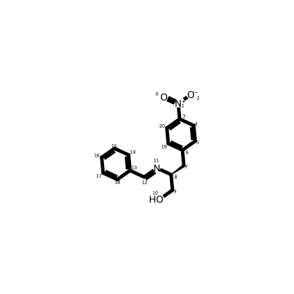 O=[N+]([O-])c1ccc(C[C@@H](CO)/N=C/c2ccccc2)cc1